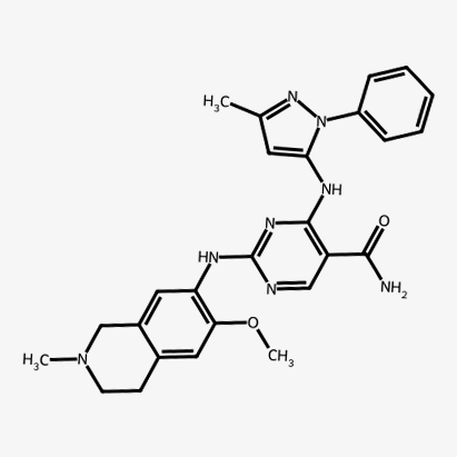 COc1cc2c(cc1Nc1ncc(C(N)=O)c(Nc3cc(C)nn3-c3ccccc3)n1)CN(C)CC2